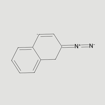 [N-]=[N+]=C1C=[C]c2ccccc2C1